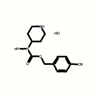 CCCN(C(=O)OCc1ccc(C#N)cc1)C1CCNCC1.Cl